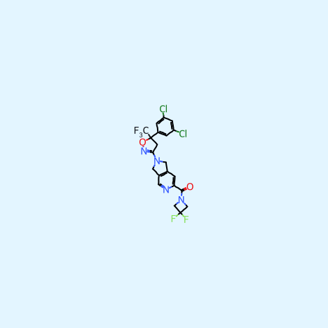 O=C(c1cc2c(cn1)CN(C1=NOC(c3cc(Cl)cc(Cl)c3)(C(F)(F)F)C1)C2)N1CC(F)(F)C1